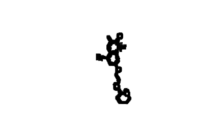 Cc1cc2c(Br)cc(OCCOC3CCCCO3)cc2n(C)c1=O